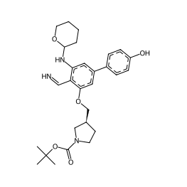 CC(C)(C)OC(=O)N1CC[C@H](COc2cc(-c3ccc(O)cc3)cc(NC3CCCCO3)c2C=N)C1